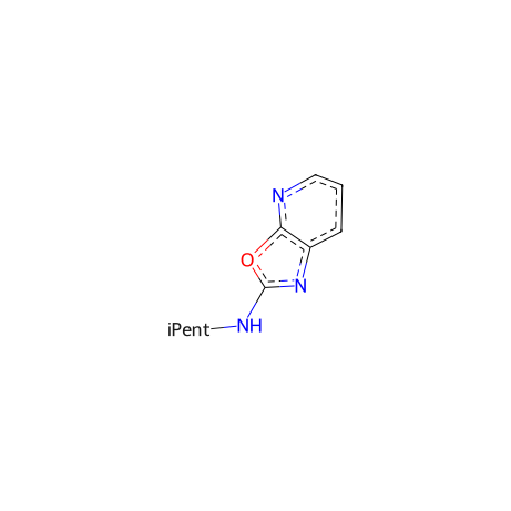 CCCC(C)Nc1nc2cccnc2o1